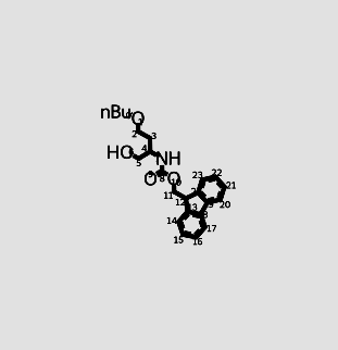 CCCCOCCC(CO)NC(=O)OCC1c2ccccc2-c2ccccc21